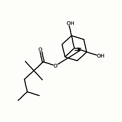 CC(C)CC(C)(C)C(=O)OC1=C2C3CC(O)(C1)CC2(O)C3